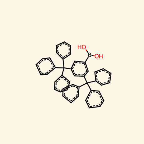 OB(O)c1cc(C(c2ccccc2)(c2ccccc2)c2ccccc2)cc(C(c2ccccc2)(c2ccccc2)c2ccccc2)c1